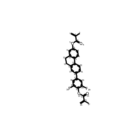 C=C(C)C(=O)Oc1ccc2c(c1)CCc1cc(-c3cc(F)c(OC(=O)C(=C)C)c(F)c3)ccc1-2